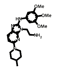 COc1cc(Nc2nc3ccc(N4CCC(C)CC4)nc3n2CCN)cc(OC)c1OC